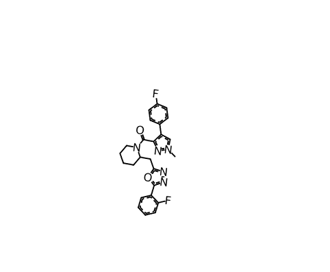 Cn1cc(-c2ccc(F)cc2)c(C(=O)N2CCCCC2Cc2nnc(-c3ccccc3F)o2)n1